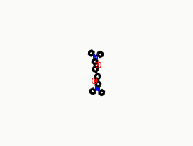 c1ccc(N(c2ccccc2)c2ccc3c(c2)oc2cc(-c4ccc5c(c4)oc4cc(N(c6ccccc6)c6ccccc6)ccc45)ccc23)cc1